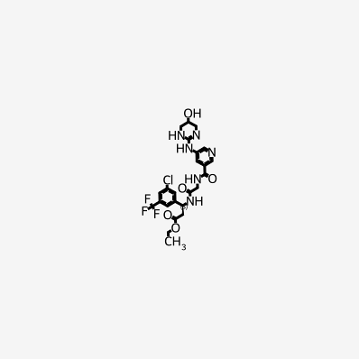 CCOC(=O)C[C@H](NC(=O)CNC(=O)c1cncc(NC2=NCC(O)CN2)c1)c1cc(Cl)cc(C(F)(F)F)c1